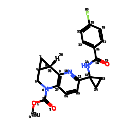 CC(C)(C)OC(=O)N1CC2C[C@@H]2c2nc(C3(NC(=O)c4ccc(F)cc4)CC3)ccc21